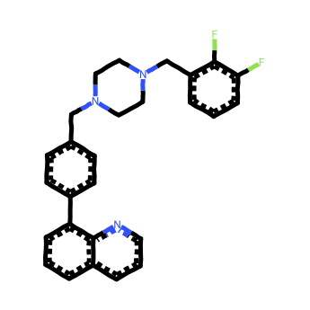 Fc1cccc(CN2CCN(Cc3ccc(-c4cccc5cccnc45)cc3)CC2)c1F